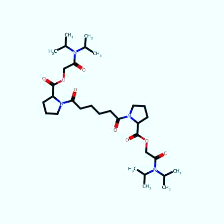 CC(C)N(C(=O)COC(=O)C1CCCN1C(=O)CCCCC(=O)N1CCCC1C(=O)OCC(=O)N(C(C)C)C(C)C)C(C)C